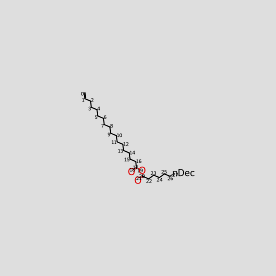 C=CCCCCCCCCCCCCCCCC(=O)OC(=O)CCCCCCCCCCCCCCC